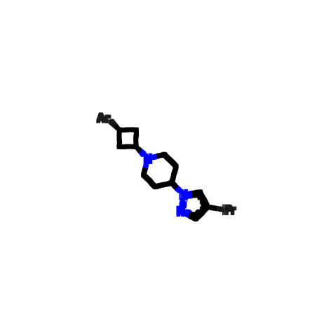 CC(=O)[C@H]1C[C@@H](N2CCC(n3cc(C(C)C)cn3)CC2)C1